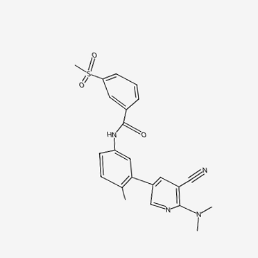 Cc1ccc(NC(=O)c2cccc(S(C)(=O)=O)c2)cc1-c1cnc(N(C)C)c(C#N)c1